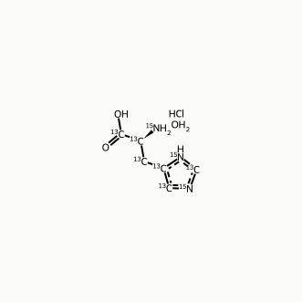 Cl.O.[15NH2][13C@@H]([13CH2][13c]1[13cH][15n][13cH][15nH]1)[13C](=O)O